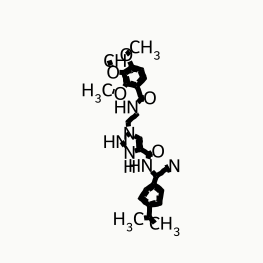 COc1ccc(C(=O)NCCN2C=C(C(=O)NC(C#N)c3ccc(C(C)C)cc3)NN2)c(OC)c1OC